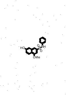 COc1cc(S(=O)(=O)Nc2ccccc2)cc2cc(O)ccc12